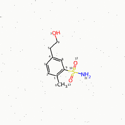 Cc1ccc(CCO)cc1S(N)(=O)=O